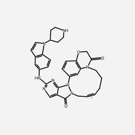 O=C1COc2ccc3cc2N1CCC/C=C\Cn1c(=O)c2cnc(Nc4ccc5c(ccn5C5CCNCC5)c4)nc2n1-3